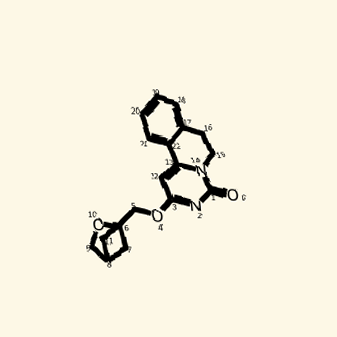 O=c1nc(OCC23CC(CO2)C3)cc2n1CCc1c[c]ccc1-2